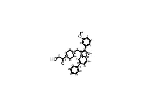 COc1cccc(C2=C(CN3CCN(C(=O)CO)CC3)N3C=C(c4ccccc4)C=CC3N2)c1